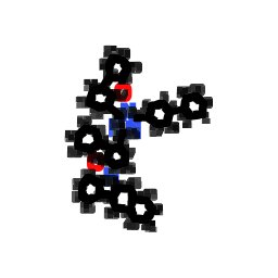 c1ccc(-c2ccc(-c3nc(-c4cccc5c4oc4ccccc45)nc(-c4ccc(-n5c6ccccc6c6cc7ccccc7cc65)c5oc6ccccc6c45)n3)cc2)cc1